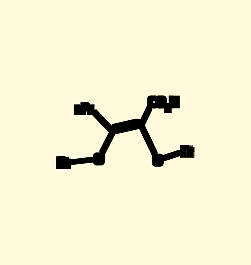 CCC/C(OCC)=C(/OCC)C(=O)O